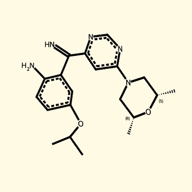 CC(C)Oc1ccc(N)c(C(=N)c2cc(N3C[C@@H](C)O[C@@H](C)C3)ncn2)c1